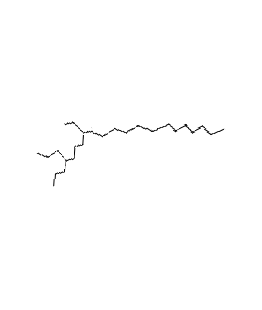 CCCCCCCCCCCC[CH]C(CC)CCCC(CCC)CCC